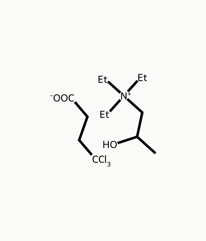 CC[N+](CC)(CC)CC(C)O.O=C([O-])CCC(Cl)(Cl)Cl